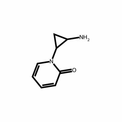 NC1CC1n1ccccc1=O